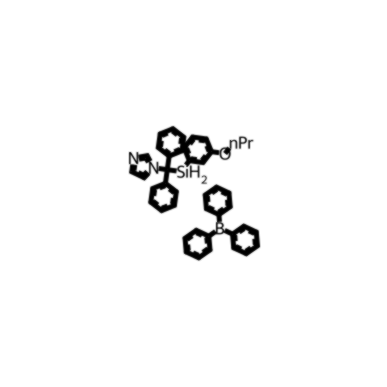 CCCOc1cccc([SiH2]C(c2ccccc2)(c2ccccc2)n2ccnc2)c1.c1ccc(B(c2ccccc2)c2ccccc2)cc1